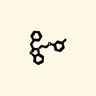 Cc1cccc(OCCn2c(Cc3ccccc3)nc3ccccc32)c1